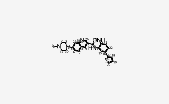 CN1CCN(c2ccc3cc(C(=O)Nc4cc(-c5cccs5)ccc4N)cnc3c2)CC1